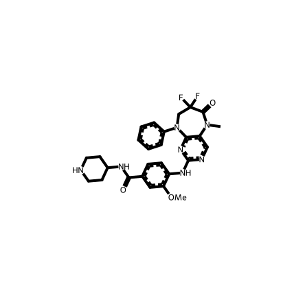 COc1cc(C(=O)NC2CCNCC2)ccc1Nc1ncc2c(n1)N(c1ccccc1)CC(F)(F)C(=O)N2C